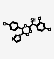 O=C(OC(c1ccc(Cl)cc1)C(Cl)n1ccnc1)C(S)c1ccc(Cl)cc1Cl